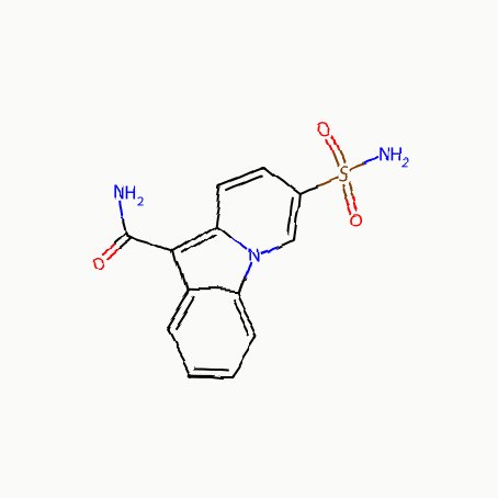 NC(=O)c1c2ccccc2n2cc(S(N)(=O)=O)ccc12